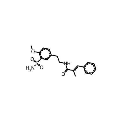 COc1ccc(CCNC(=O)C(C)=Cc2ccccc2)cc1S(N)(=O)=O